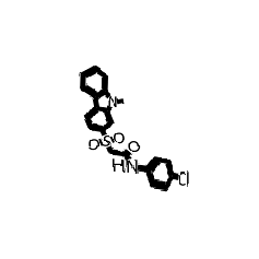 Cn1c2ccccc2c2ccc(S(=O)(=O)CC(=O)Nc3ccc(Cl)cc3)cc21